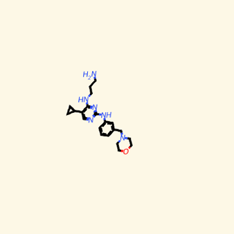 NCCCNc1nc(Nc2cccc(CN3CCOCC3)c2)ncc1C1CC1